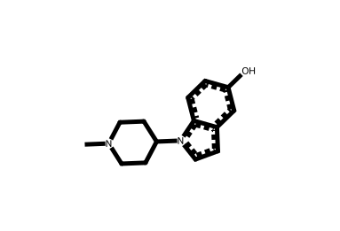 CN1CCC(n2ccc3cc(O)ccc32)CC1